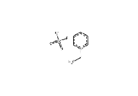 CC[n+]1ccccc1.O=S(=O)([O-])F